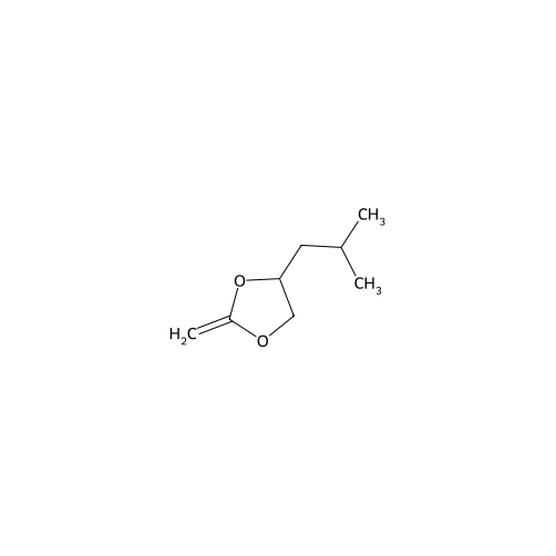 C=C1OCC(CC(C)C)O1